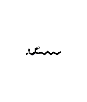 CCCCCCCC/C(C=O)=C/N(C)C